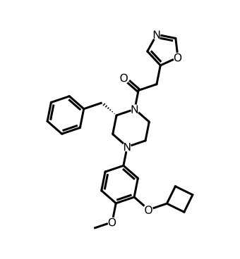 COc1ccc(N2CCN(C(=O)Cc3cnco3)[C@@H](Cc3ccccc3)C2)cc1OC1CCC1